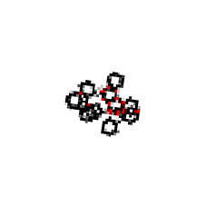 O=P(c1ccccc1-c1ccccc1)(c1ccccc1-c1ccccc1)c1ccc2c(c1P(=O)(c1ccccc1-c1ccccc1)c1ccccc1-c1ccccc1)-c1ccccc1-2